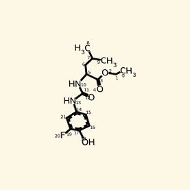 CCOC(=O)C(CC(C)C)NC(=O)Nc1ccc(O)c(F)c1